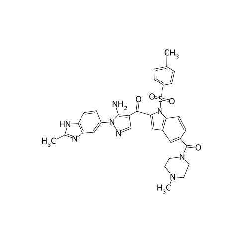 Cc1ccc(S(=O)(=O)n2c(C(=O)c3cnn(-c4ccc5[nH]c(C)nc5c4)c3N)cc3cc(C(=O)N4CCN(C)CC4)ccc32)cc1